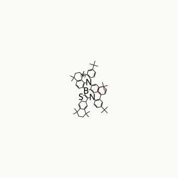 CC1(C)CCC(C)(C)C2=CC3C4=C(SC3C=C21)B1c2ccc3c5c2N(c2ccc(C(C)(C)C)cc2[C@@]5(C)CCC3(C)C)c2cc(C(C)(C)C)cc(c21)N4c1ccc(C(C)(C)C)cc1C1=CCCC=C1